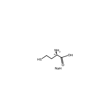 N[C@H](CCS)C(=O)O.[NaH]